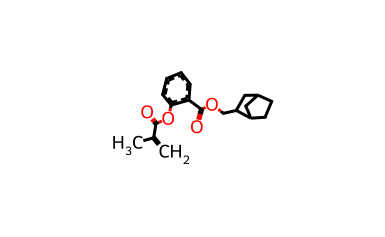 C=C(C)C(=O)Oc1ccccc1C(=O)OCC1CC2CCC1C2